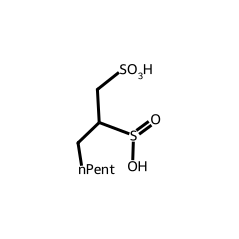 CCCCCCC(CS(=O)(=O)O)S(=O)O